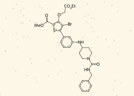 CCOC(=O)COc1c(C(=O)OC)sc(-c2cccc(NC3CCN(C(=O)NCc4ccccc4)CC3)c2)c1Br